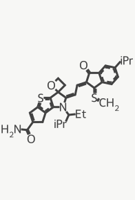 C=S=C1/C(=C\C=C2\N(C(CC)C(C)C)c3c(sc4c3CC(C(N)=O)=C4)C23CCO3)C(=O)c2cc(C(C)C)ccc21